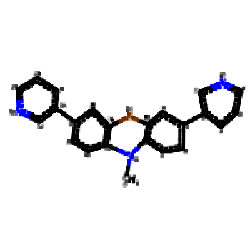 CN1c2ccc(-c3cccnc3)cc2Sc2cc(-c3cccnc3)ccc21